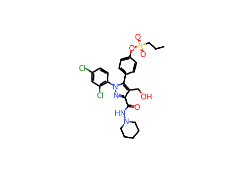 CCCS(=O)(=O)Oc1ccc(-c2c(CO)c(C(=O)NN3CCCCC3)nn2-c2ccc(Cl)cc2Cl)cc1